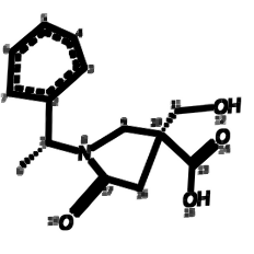 C[C@H](c1ccccc1)N1C[C@@](CO)(C(=O)O)CC1=O